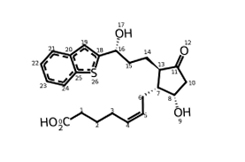 O=C(O)CCC/C=C\C[C@H]1[C@@H](O)CC(=O)[C@@H]1CC[C@@H](O)c1cc2ccccc2s1